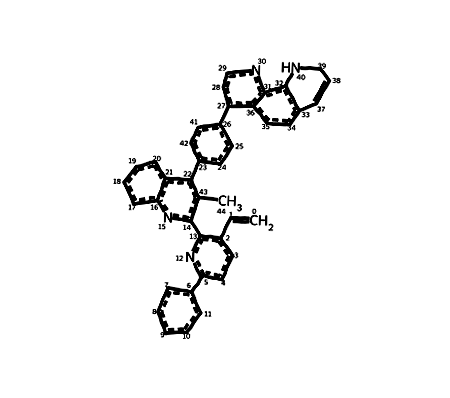 C=Cc1ccc(-c2ccccc2)nc1-c1nc2ccccc2c(-c2ccc(-c3ccnc4c5c(ccc34)C=CCN5)cc2)c1C